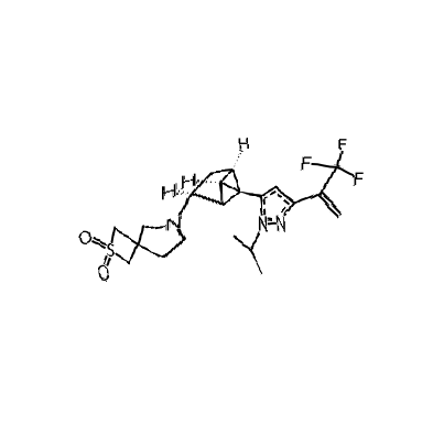 C=C(c1cc([C@]23C4[C@@H](N5CCC6(C5)CS(=O)(=O)C6)C[C@@H]2[C@H]43)n(C(C)C)n1)C(F)(F)F